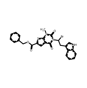 Cn1c(=O)n(C(Br)Cc2c[nH]c3ccccc23)c(=O)c2cc(C(=O)OCc3ccccc3)sc21